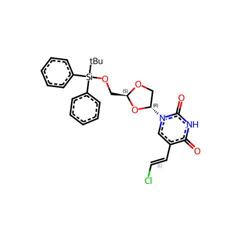 CC(C)(C)[Si](OC[C@H]1OC[C@H](n2cc(/C=C/Cl)c(=O)[nH]c2=O)O1)(c1ccccc1)c1ccccc1